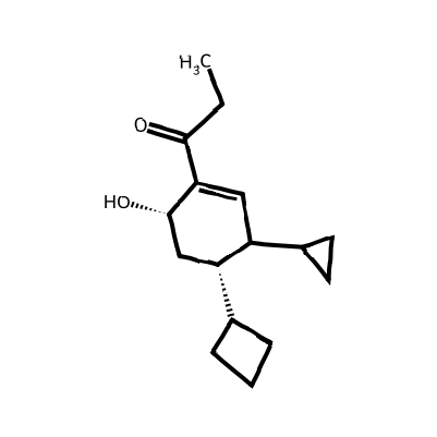 CCC(=O)C1=CC(C2CC2)[C@H](C2CCC2)C[C@@H]1O